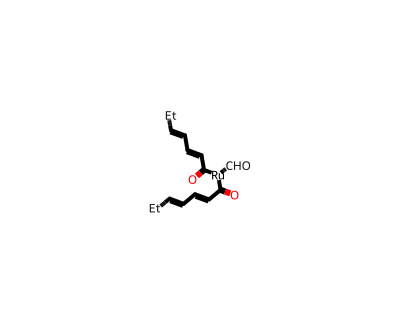 CCC=CC=C[C](=O)[Ru]([CH]=O)[C](=O)C=CC=CCC